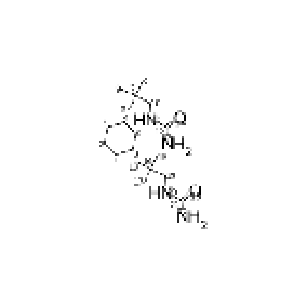 C1CCCCC1.CC(C)(C)CNC(N)=O.CC(C)(C)CNC(N)=O